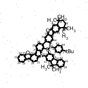 CC(C)(C)c1ccc(N2B3c4cc5c(cc4-n4c6ccc7c8ccccc8oc7c6c6ccc(c3c64)-c3cc4oc6cc7c(cc6c4cc32)C(C)(C)CCC7(C)C)C(C)(C)c2ccccc2-5)cc1